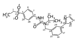 CCS(=O)(=O)c1ccc(NC(=O)N(Cc2cccc(-c3nccs3)c2)C(C)C)cc1